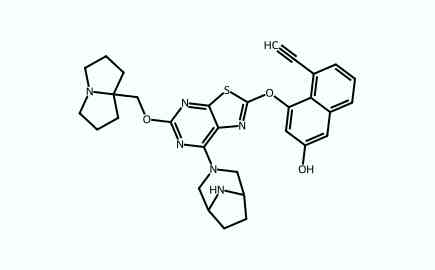 C#Cc1cccc2cc(O)cc(Oc3nc4c(N5CC6CCC(C5)N6)nc(OCC56CCCN5CCC6)nc4s3)c12